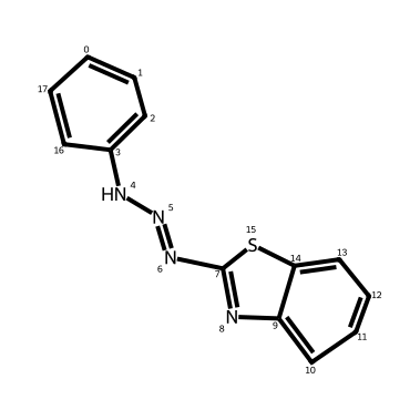 c1ccc(NN=Nc2nc3ccccc3s2)cc1